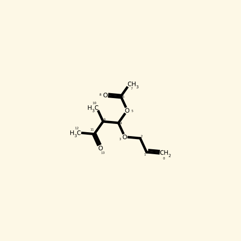 C=CCOC(OC(C)=O)C(C)C(C)=O